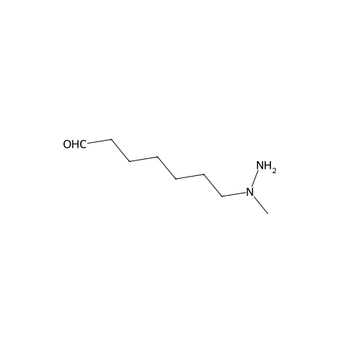 CN(N)CCCCCCC=O